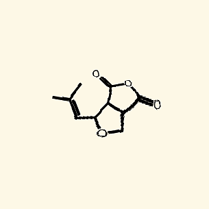 CC(C)=CC1OCC2C(=O)OC(=O)C12